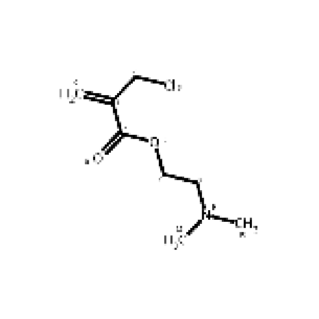 C=C(CCl)C(=O)OCCN(C)C